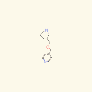 [CH]1CC[N]CC1COCc1ccncc1